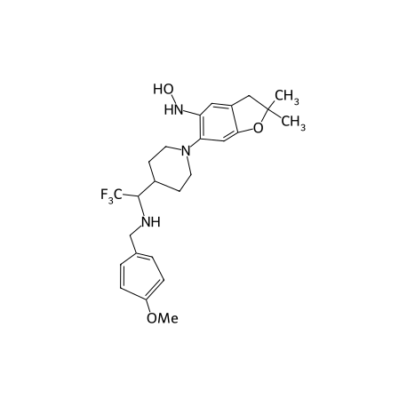 COc1ccc(CNC(C2CCN(c3cc4c(cc3NO)CC(C)(C)O4)CC2)C(F)(F)F)cc1